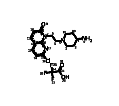 NC1CCN(CCn2c(=O)ccc3ccc(Cl)nc32)CC1.O=C(O)C(F)(F)F